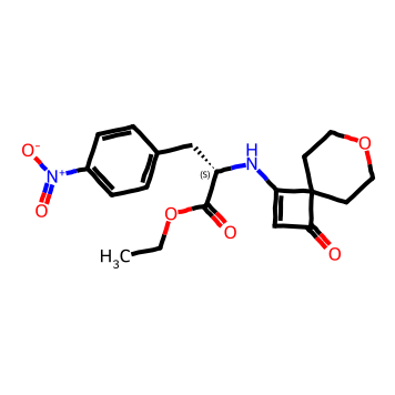 CCOC(=O)[C@H](Cc1ccc([N+](=O)[O-])cc1)NC1=CC(=O)C12CCOCC2